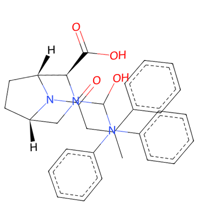 CC(CC(=O)N1[C@H]2CC[C@@H]1[C@@H](C(=O)O)N(C(O)N(c1ccccc1)c1ccccc1)C2)c1ccccc1